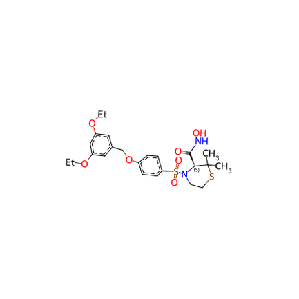 CCOc1cc(COc2ccc(S(=O)(=O)N3CCSC(C)(C)[C@@H]3C(=O)NO)cc2)cc(OCC)c1